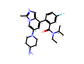 CCN(C(=O)c1cc(F)ccc1-c1cc(N2CCC(N)CC2)cn2c(C)ncc12)C(C)C